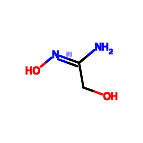 N/C(CO)=N/O